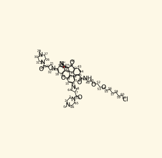 CN1CCN(C(=O)C2CN(c3ccc4c(c3)Oc3cc(N5CC(C(=O)N6CCN(C)CC6)C5)ccc3C43C(=[N+]=[N-])C(=O)c4ccc(C(=O)NCCOCCOCCCCCCCl)cc43)C2)CC1